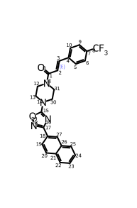 O=C(/C=C/c1ccc(C(F)(F)F)cc1)N1CCN(c2nc(-c3ccc4ccccc4c3)no2)CC1